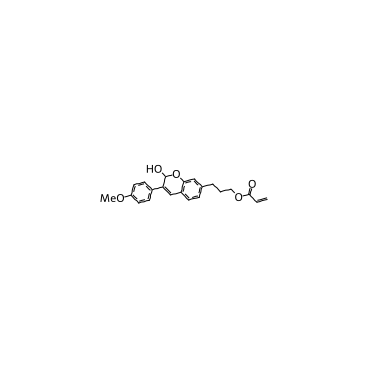 C=CC(=O)OCCCc1ccc2c(c1)OC(O)C(c1ccc(OC)cc1)=C2